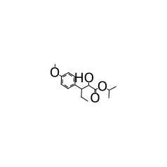 CCC(c1ccc(OC)cc1)C(O)C(=O)OC(C)C